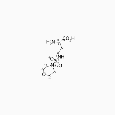 N[C@@H](CCNS(=O)(=O)N1CCOCC1)C(=O)O